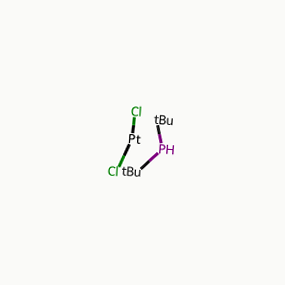 CC(C)(C)PC(C)(C)C.[Cl][Pt][Cl]